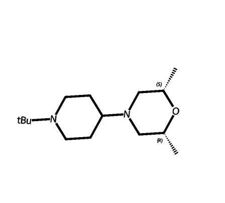 C[C@@H]1CN(C2CCN(C(C)(C)C)CC2)C[C@H](C)O1